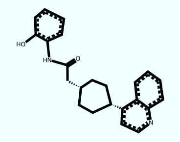 O=C(C[C@H]1CC[C@@H](c2ccnc3ccccc32)CC1)Nc1ccccc1O